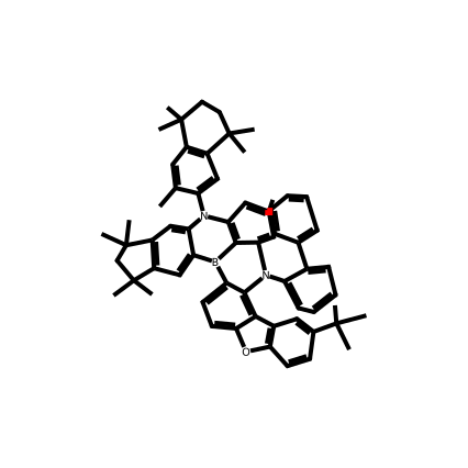 Cc1cc2c3c(c1)N(c1ccccc1-c1ccccc1)c1c(ccc4oc5ccc(C(C)(C)C)cc5c14)B3c1cc3c(cc1N2c1cc2c(cc1C)C(C)(C)CCC2(C)C)C(C)(C)CC3(C)C